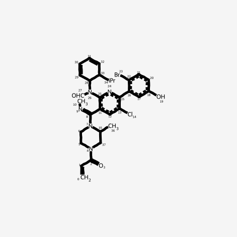 C=CC(=O)N1CCN(/C(=N/C)c2cc(Cl)c(-c3cc(O)ccc3Br)nc2N(C=O)C2C=CC=CC2C(C)C)C(C)C1